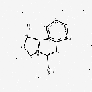 CC1Cc2ccccc2C2CCCN12.I